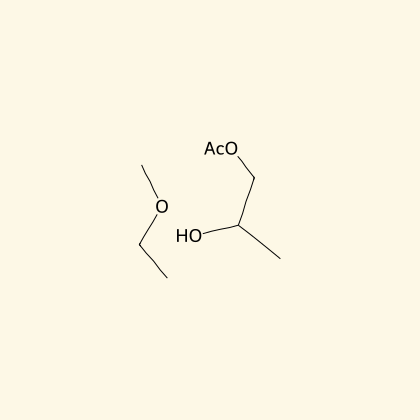 CC(=O)OCC(C)O.CCOC